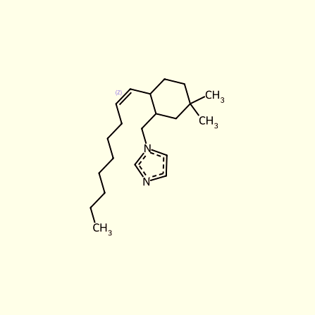 CCCCCCC/C=C\C1CCC(C)(C)CC1Cn1ccnc1